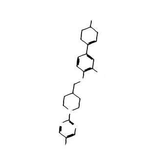 CCOC(=O)C1CC=C(c2ccc(OCC3CCN(c4ncc(CC)cn4)CC3)c(C(F)(F)F)c2)CC1